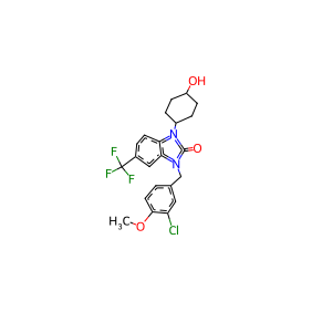 COc1ccc(Cn2c(=O)n(C3CCC(O)CC3)c3ccc(C(F)(F)F)cc32)cc1Cl